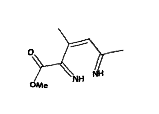 COC(=O)C(=N)/C(C)=C\C(C)=N